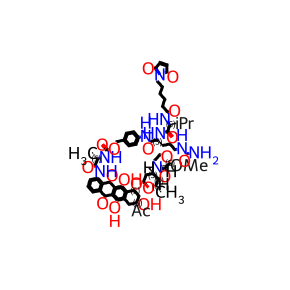 CO[C@H]1OCCN2[C@@H]1O[C@@H]1[C@H](C)OC(O[C@H]3C[C@](O)(C(C)=O)Cc4c(O)c5c(c(O)c43)C(=O)c3c(NC(=O)[C@H](C)NC(=O)OCc4ccc(NC(=O)[C@H](CCCNC(N)=O)NC(=O)[C@@H](NC(=O)CCCCCN6C(=O)C=CC6=O)C(C)C)cc4)cccc3C5=O)C[C@@H]12